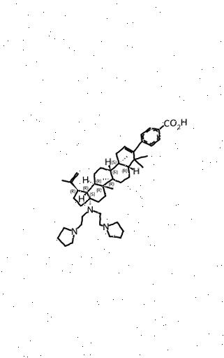 C=C(C)[C@@H]1CC[C@]2(N(CCN3CCCC3)CCN3CCCC3)CC[C@]3(C)[C@H](CC[C@@H]4[C@@]5(C)CC=C(c6ccc(C(=O)O)cc6)C(C)(C)[C@@H]5CC[C@]43C)[C@@H]12